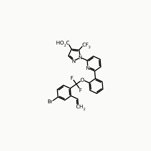 C=Cc1cc(Br)ccc1C(F)(F)Oc1ccccc1-c1cccc(-n2ncc(C(=O)O)c2C(F)(F)F)n1